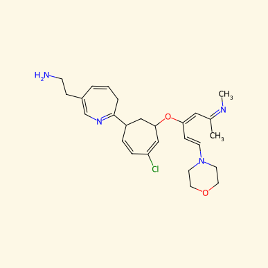 C\N=C(C)/C=C(\C=C\N1CCOCC1)OC1C=C(Cl)C=CC(C2=NC=C(CCN)C=CC2)C1